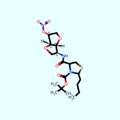 CCCCC1SCC(C(=O)N[C@H]2CO[C@H]3[C@@H]2OC[C@@H]3O[N+](=O)[O-])N1C(=O)OC(C)(C)C